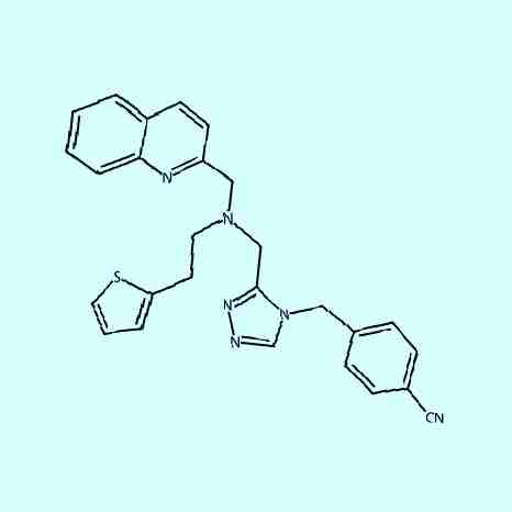 N#Cc1ccc(Cn2cnnc2CN(CCc2cccs2)Cc2ccc3ccccc3n2)cc1